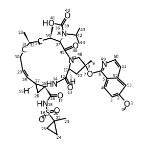 COc1ccc2c(O[C@]3(C)C[C@H]4C(=O)N[C@]5(C(=O)NS(=O)(=O)C6(C)CC6)C[C@H]5/C=C\CC[C@@H](C)C[C@@H](C)[C@H](N(C(=O)O)C(C)C)C(=O)N4C3)nccc2c1